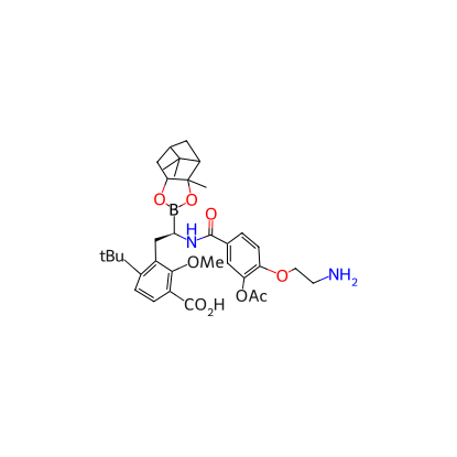 COc1c(C(=O)O)ccc(C(C)(C)C)c1C[C@H](NC(=O)c1ccc(OCCN)c(OC(C)=O)c1)B1OC2CC3CC(C3(C)C)C2(C)O1